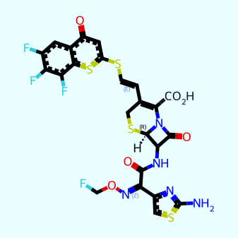 Nc1nc(/C(=N/OCF)C(=O)NC2C(=O)N3C(C(=O)O)=C(/C=C/Sc4cc(=O)c5cc(F)c(F)c(F)c5s4)CS[C@H]23)cs1